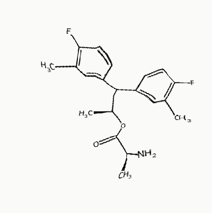 Cc1cc(C(c2ccc(F)c(C)c2)[C@H](C)OC(=O)[C@H](C)N)ccc1F